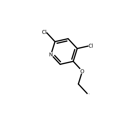 [CH2]COc1cnc(Cl)cc1Cl